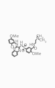 COc1ccc(Cl)c(Nc2nc3ccccc3nc2NS(=O)(=O)c2ccc(OC)c(C(=O)NCCN(C)C)c2)c1